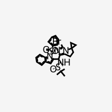 CC(C)(C)[S@+]([O-])N[C@H](c1nc(Br)n2c1CCC21CC1)c1cc2ccccc2n1S(=O)(=O)c1ccccc1